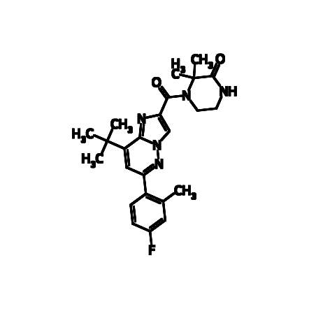 Cc1cc(F)ccc1-c1cc(C(C)(C)C)c2nc(C(=O)N3CCNC(=O)C3(C)C)cn2n1